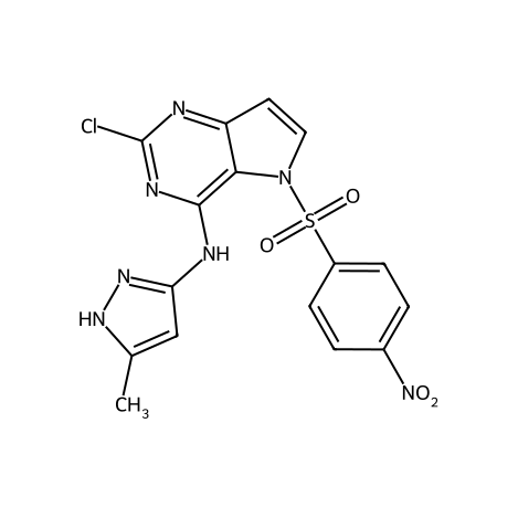 Cc1cc(Nc2nc(Cl)nc3ccn(S(=O)(=O)c4ccc([N+](=O)[O-])cc4)c23)n[nH]1